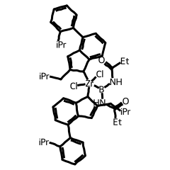 CCC(=O)N[B](NC(=O)CC)[Zr]([Cl])([Cl])([CH]1C(CC(C)C)=Cc2c(-c3ccccc3C(C)C)cccc21)[CH]1C(CC(C)C)=Cc2c(-c3ccccc3C(C)C)cccc21